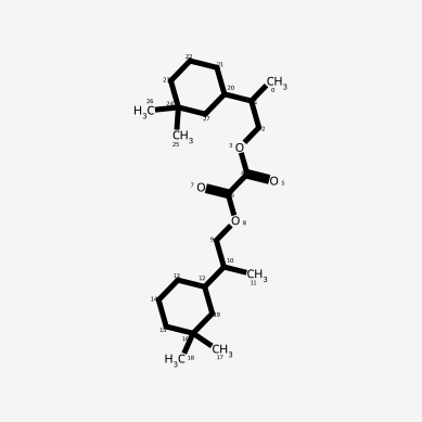 CC(COC(=O)C(=O)OCC(C)C1CCCC(C)(C)C1)C1CCCC(C)(C)C1